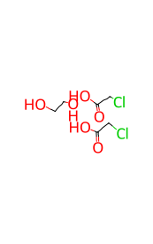 O=C(O)CCl.O=C(O)CCl.OCCO